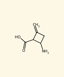 C=C1CC(N)C1C(=O)O